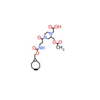 CC(=O)OCC1CN(C(=O)CCNC(=O)OCC2C3CCC#CCCC32)CCN1CC(=O)O